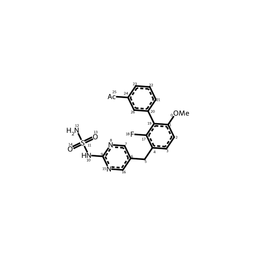 COc1ccc(Cc2cnc(NS(N)(=O)=O)nc2)c(F)c1-c1cccc(C(C)=O)c1